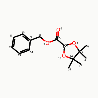 CC1(C)OB(C(=O)OCc2ccccc2)OC1(C)C